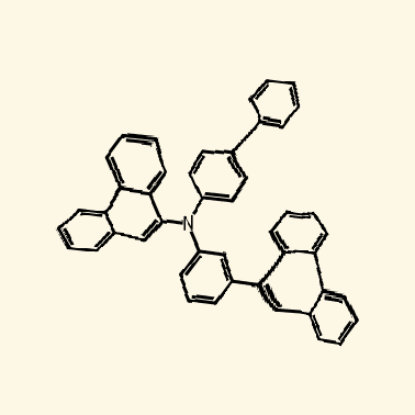 c1ccc(-c2ccc(N(c3cccc(-c4cc5ccccc5c5ccccc45)c3)c3cc4ccccc4c4ccccc34)cc2)cc1